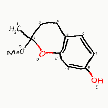 COC1(C)CCc2ccc(O)cc2O1